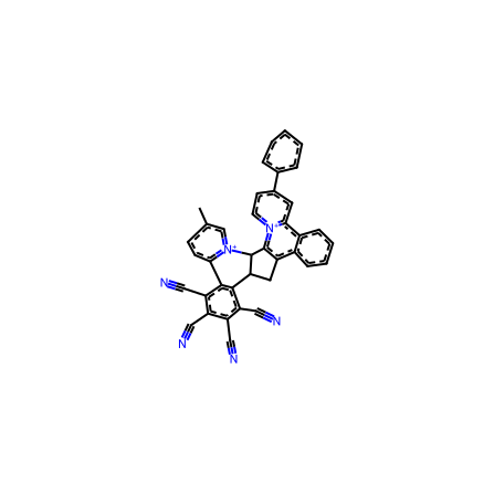 Cc1ccc2[n+](c1)C1c3c(c4ccccc4c4cc(-c5ccccc5)cc[n+]34)CC1c1c(C#N)c(C#N)c(C#N)c(C#N)c1-2